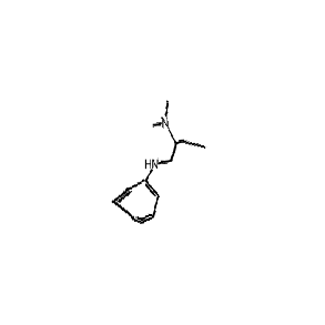 CC(CNc1ccccc1)N(C)C